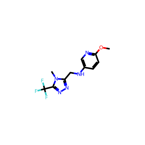 COc1ccc(NCc2nnc(C(F)(F)F)n2C)cn1